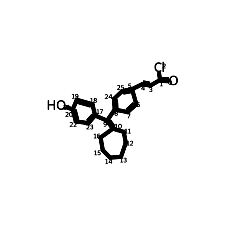 O=C(Cl)C=Cc1ccc(C(=C2CCCCCC2)c2ccc(O)cc2)cc1